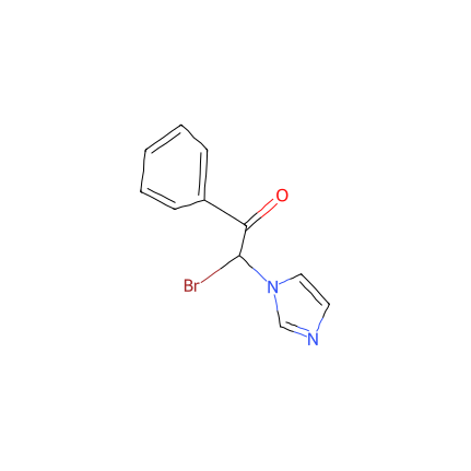 O=C(c1ccccc1)C(Br)n1ccnc1